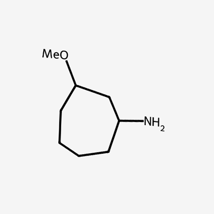 COC1CCCCC(N)C1